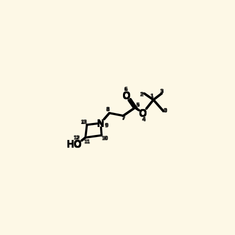 CC(C)(C)OC(=O)CCN1CC(O)C1